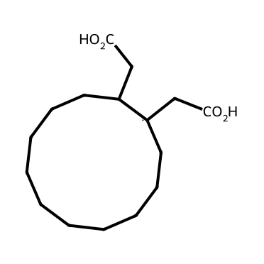 O=C(O)C[C]1CCCCCCCCCCC1CC(=O)O